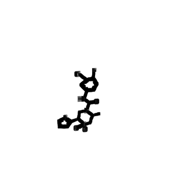 C[C@H]1CS(=O)(=O)[C@@H](c2cccs2)CN1C(=O)Nc1ccc(F)c(Cl)c1